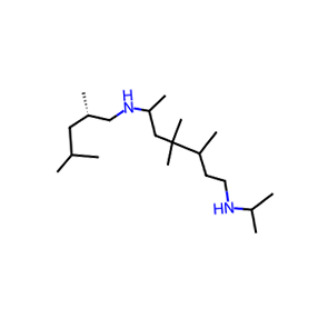 CC(C)C[C@H](C)CNC(C)CC(C)(C)C(C)CCNC(C)C